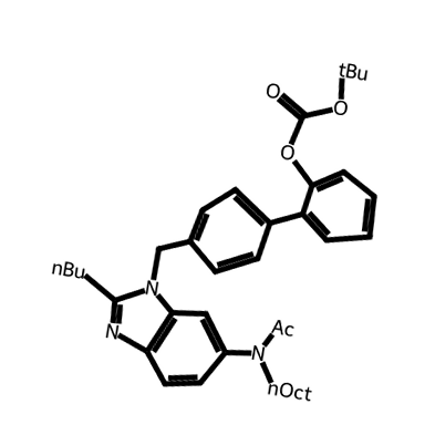 CCCCCCCCN(C(C)=O)c1ccc2nc(CCCC)n(Cc3ccc(-c4ccccc4OC(=O)OC(C)(C)C)cc3)c2c1